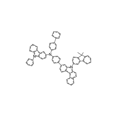 CC1(C)c2ccccc2-c2cc(-n3c4cc(-c5ccc(N(c6ccc(-c7ccccc7)cc6)c6ccc7c(c6)c6ccccc6n7-c6ccccc6)cc5)ccc4c4c5ccccc5ccc43)ccc21